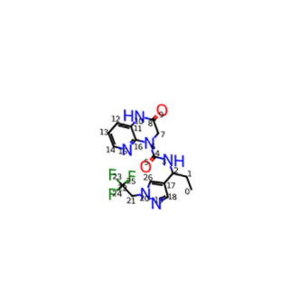 CCC(NC(=O)N1CC(=O)Nc2cccnc21)c1cnn(CC(F)(F)F)c1